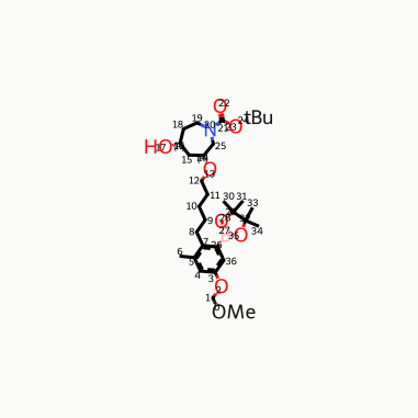 COCOc1cc(C)c(CCCCCO[C@@H]2C[C@H](O)CCN(C(=O)OC(C)(C)C)C2)c(B2OC(C)(C)C(C)(C)O2)c1